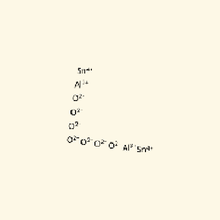 [Al+3].[Al+3].[O-2].[O-2].[O-2].[O-2].[O-2].[O-2].[O-2].[Sn+4].[Sn+4]